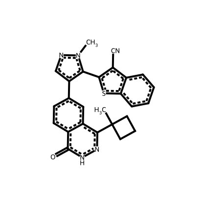 Cn1ncc(-c2ccc3c(=O)[nH]nc(C4(C)CCC4)c3c2)c1-c1sc2ccccc2c1C#N